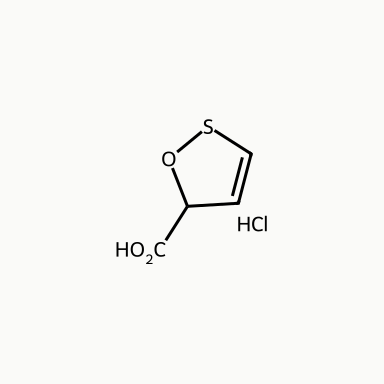 Cl.O=C(O)C1C=CSO1